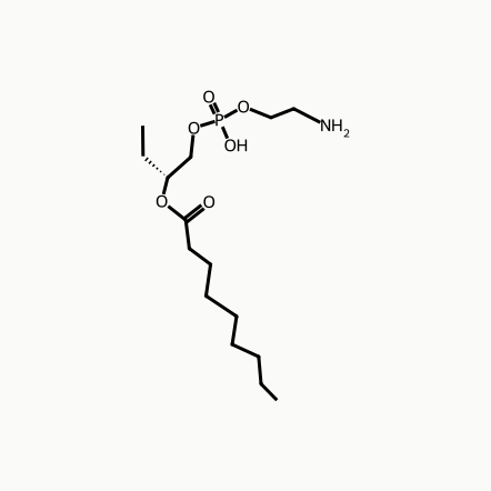 CCCCCCCCC(=O)O[C@H](CC)COP(=O)(O)OCCN